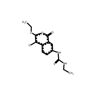 CCNC(=S)Nc1ccc2c(Cl)c(OCC)oc(=O)c2c1